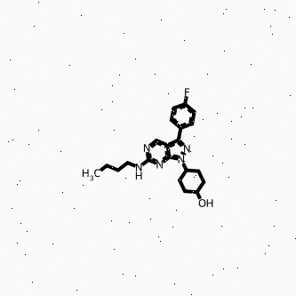 CCCCNc1ncc2c(-c3ccc(F)cc3)nn(C3CCC(O)CC3)c2n1